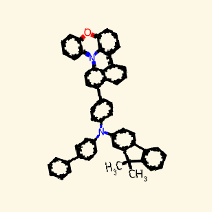 CC1(C)c2ccccc2-c2ccc(N(c3ccc(-c4ccccc4)cc3)c3ccc(-c4ccc5c6c4cccc6c4cccc6oc7ccccc7n5-c64)cc3)cc21